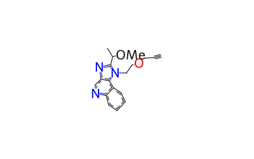 C#CCOCCn1c(C(C)OC)nc2cnc3ccccc3c21